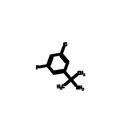 CC(C)(N)c1cc(F)cc(Cl)c1